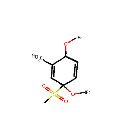 CC(C)OC1C=CC(OC(C)C)(S(C)(=O)=O)C=C1C(=O)O